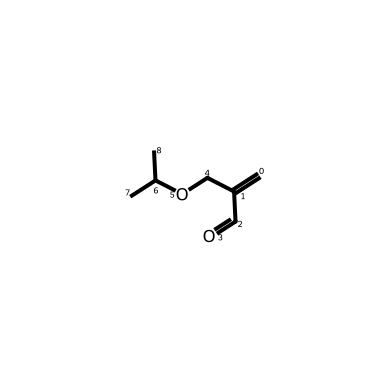 C=C(C=O)COC(C)C